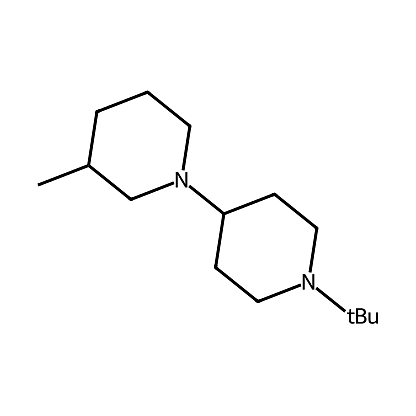 CC1CCCN(C2CCN(C(C)(C)C)CC2)C1